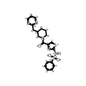 O=C(c1csc(NS(=O)(=O)c2ccccc2)n1)N1CCCC(Cc2ncccn2)C1